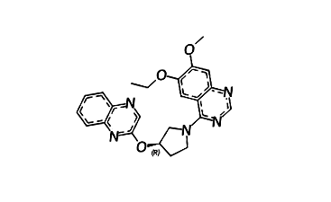 CCOc1cc2c(N3CC[C@@H](Oc4cnc5ccccc5n4)C3)ncnc2cc1OC